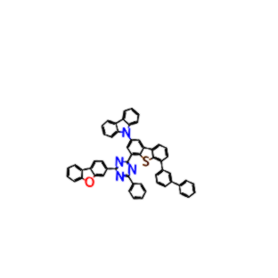 c1ccc(-c2cccc(-c3cccc4c3sc3c(-c5nc(-c6ccccc6)nc(-c6ccc7c(c6)oc6ccccc67)n5)cc(-n5c6ccccc6c6ccccc65)cc34)c2)cc1